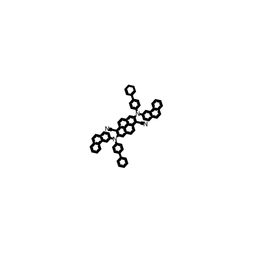 N#Cc1c(N(c2ccc(C3=CCCC=C3)cc2)c2ccc3ccc4ccccc4c3c2)cc2ccc3c(C#N)c(N(c4ccc(-c5ccccc5)cc4)c4ccc5ccc6ccccc6c5c4)cc4ccc1c2c43